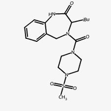 CCC(C)C1C(=O)Nc2ccccc2CN1C(=O)N1CCN(S(C)(=O)=O)CC1